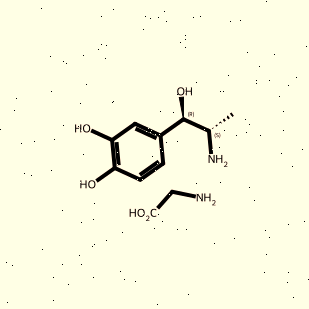 C[C@H](N)[C@H](O)c1ccc(O)c(O)c1.NCC(=O)O